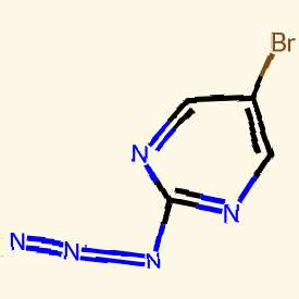 [N-]=[N+]=Nc1ncc(Br)cn1